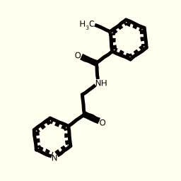 Cc1ccccc1C(=O)NCC(=O)c1cccnc1